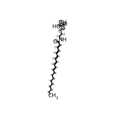 CCCCCCCCCC=CC=CC=CC=CC=CC(=O)NCCSOP(=O)(O)O